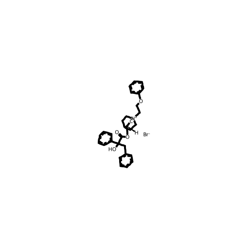 O=C(O[C@H]1C[N+]2(CCOc3ccccc3)CCC1CC2)C(O)(Cc1ccccc1)c1ccccc1.[Br-]